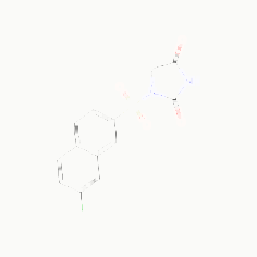 O=C1CN(S(=O)(=O)c2ccc3ccc(Cl)cc3c2)C(=O)N1